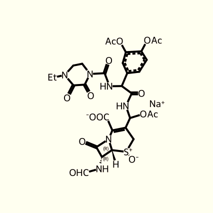 CCN1CCN(C(=O)NC(C(=O)NC(OC(C)=O)C2=C(C(=O)[O-])N3C(=O)[C@@H](NC=O)[C@H]3[S+]([O-])C2)c2ccc(OC(C)=O)c(OC(C)=O)c2)C(=O)C1=O.[Na+]